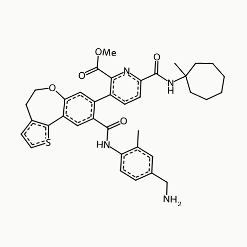 COC(=O)c1nc(C(=O)NC2(C)CCCCCC2)ccc1-c1cc2c(cc1C(=O)Nc1ccc(CN)cc1C)-c1sccc1CCO2